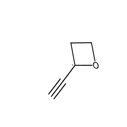 C#C[C]1CCO1